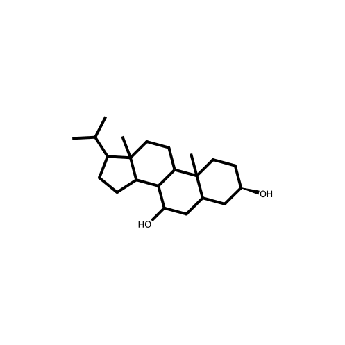 CC(C)C1CCC2C3C(O)CC4C[C@H](O)CCC4(C)C3CCC12C